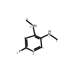 CNc1cnc(F)cc1NC